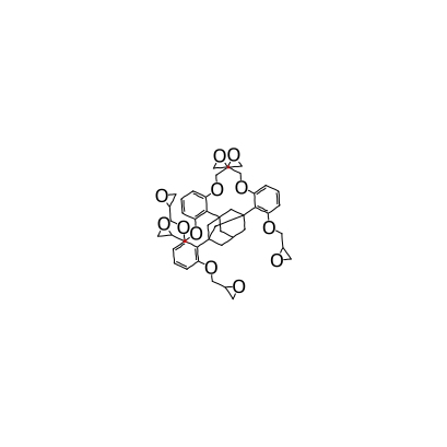 c1cc(OCC2CO2)c(C23CC4CC(c5c(OCC6CO6)cccc5OCC5CO5)(C2)CC(c2c(OCC5CO5)cccc2OCC2CO2)(C4)C3)c(OCC2CO2)c1